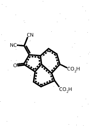 N#CC(C#N)=c1c(=O)c2ccc(C(=O)O)c3c(C(=O)O)ccc1c32